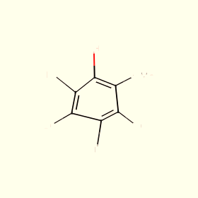 CCc1c(O)c(OC)c(CC)c(CC)c1CC